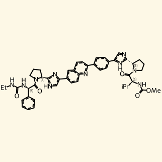 CCNC(=O)N[C@@H](C(=O)N1CCC[C@H]1c1nc(-c2ccc3nc(-c4ccc(-c5cnc([C@@H]6CCCN6C(=O)[C@@H](NC(=O)OC)C(C)C)[nH]5)cc4)ccc3c2)c[nH]1)c1ccccc1